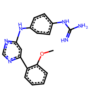 COc1ccccc1-c1cc(Nc2ccc(NC(=N)N)cc2)ncn1